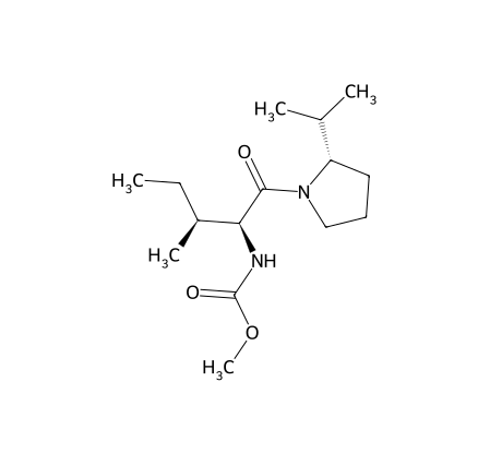 CC[C@H](C)[C@H](NC(=O)OC)C(=O)N1CCC[C@H]1C(C)C